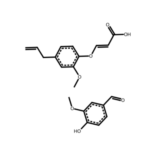 C=CCc1ccc(OC=CC(=O)O)c(OC)c1.COc1cc(C=O)ccc1O